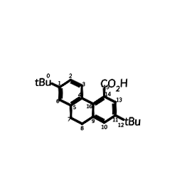 CC(C)(C)c1ccc2c(c1)CCc1cc(C(C)(C)C)cc(C(=O)O)c1-2